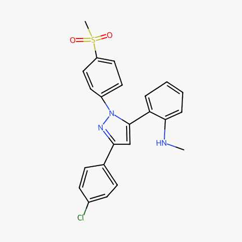 CNc1ccccc1-c1cc(-c2ccc(Cl)cc2)nn1-c1ccc(S(C)(=O)=O)cc1